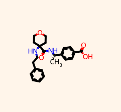 C[C@H](NC(=O)C1(NCCc2ccccc2)CCOCC1)c1ccc(C(=O)O)cc1